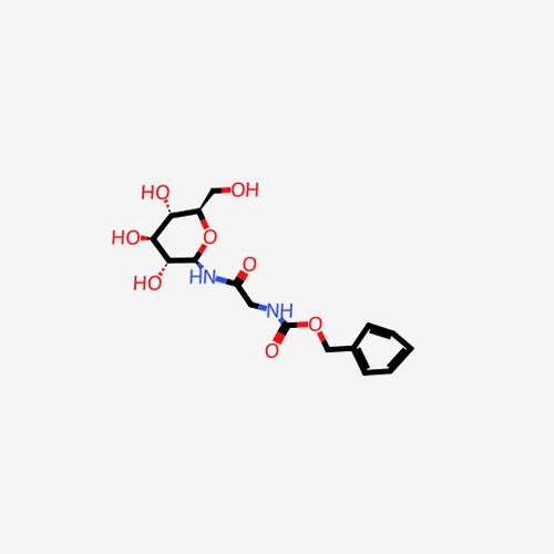 O=C(CNC(=O)OCc1ccccc1)N[C@@H]1O[C@H](CO)[C@@H](O)[C@H](O)[C@H]1O